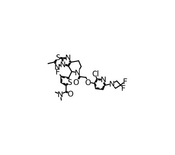 Cc1nn2c3c(nc2s1)CCN(C(=O)COc1ccc(N2CC(F)(F)C2)nc1Cl)C3c1sc(C(=O)N(C)C)cc1F